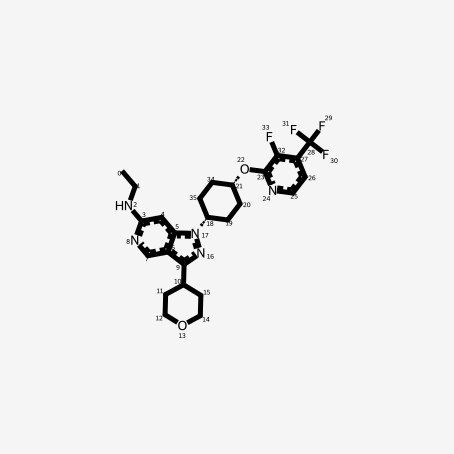 CCNc1cc2c(cn1)c(C1CCOCC1)nn2[C@H]1CC[C@@H](Oc2nccc(C(F)(F)F)c2F)CC1